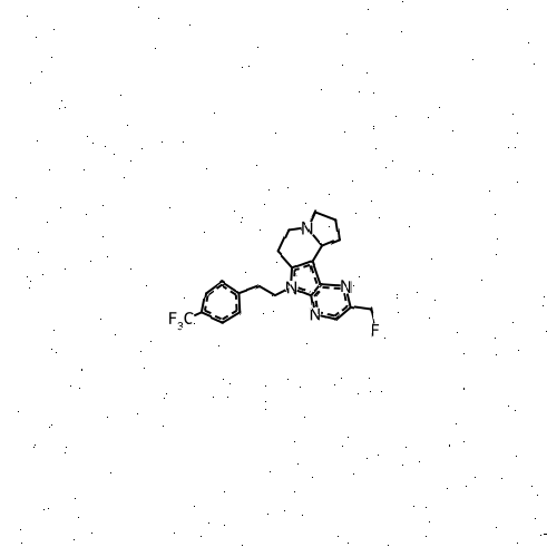 FCc1cnc2c(n1)c1c(n2CCc2ccc(C(F)(F)F)cc2)CCN2CCCC12